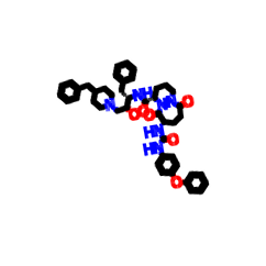 O=C(Nc1ccc(Oc2ccccc2)cc1)N[C@H]1CCC(=O)N2CCC[C@@H](C(=O)N[C@@H](Cc3ccccc3)C(=O)CN3CCC(Cc4ccccc4)CC3)N2C1=O